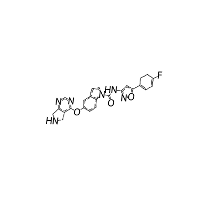 O=C(Nc1cc(C2=CC=C(F)CC2)on1)n1ccc2cc(Oc3ncnc4c3CNC4)ccc21